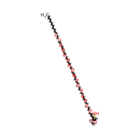 CCCCCCCCCCCCOCCOCCOCCOCCOCCOCCOCCOCCOCCOCCOCCOCCOCCOCCOCCOCC(O)Cc1scc2c1OCCO2